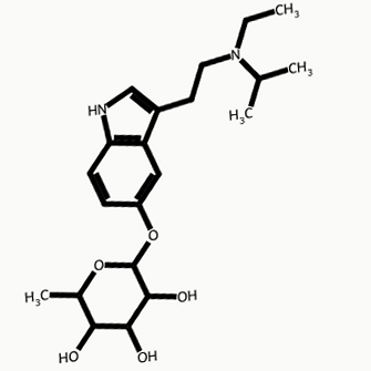 CCN(CCc1c[nH]c2ccc(OC3OC(C)C(O)C(O)C3O)cc12)C(C)C